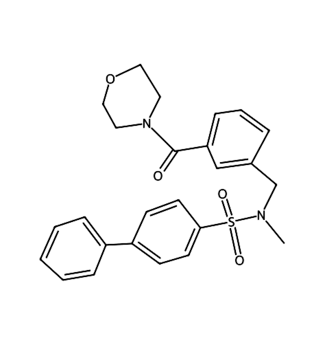 CN(Cc1cccc(C(=O)N2CCOCC2)c1)S(=O)(=O)c1ccc(-c2ccccc2)cc1